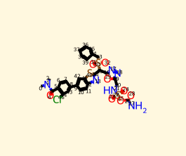 CN(C)C(=O)c1ccc(-c2ccc3nc(C(c4nnc(CNS(=O)(=O)OC(N)=O)o4)S(=O)(=O)Cc4ccccc4)sc3c2)cc1Cl